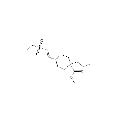 CCCC1(C(=O)OC)CCC(/C=C/S(=O)(=O)CC)CC1